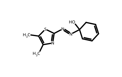 Cc1nc(/N=N/C2(O)C=CC=CC2)sc1C